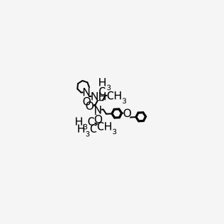 CC(C)C[C@H](NC(=O)N1CCCCCC1)C(=O)N(CCc1ccc(OCc2ccccc2)cc1)COC(C)(C)C